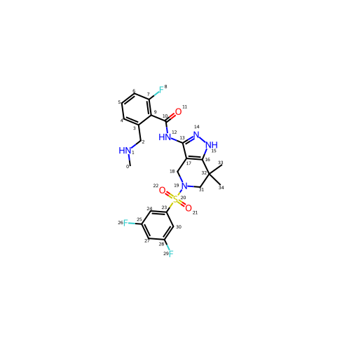 CNCc1cccc(F)c1C(=O)Nc1n[nH]c2c1CN(S(=O)(=O)c1cc(F)cc(F)c1)CC2(C)C